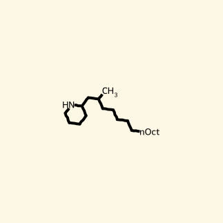 CCCCCCCCCCCCCC(C)CC1CCCCN1